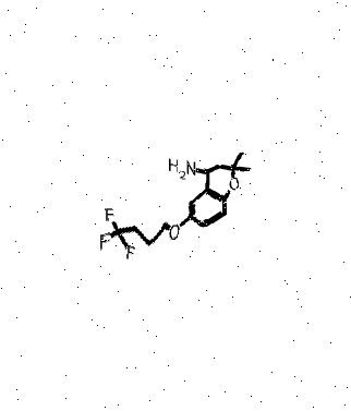 CC1(C)CC(N)c2cc(OCCCC(F)(F)F)ccc2O1